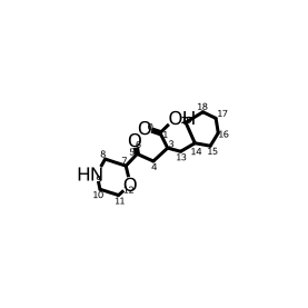 O=C(O)C(CC(=O)C1CNCCO1)CC1CCCCC1